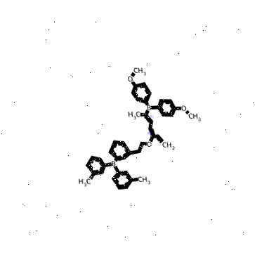 C=C/C(=C\C=C(/C)B(c1ccc(OC)cc1)c1ccc(OC)cc1)OCCc1cccc(B(c2cccc(C)c2)c2cccc(C)c2)c1